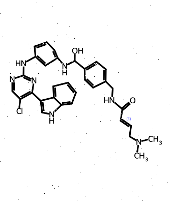 CN(C)C/C=C/C(=O)NCc1ccc(C(O)Nc2cccc(Nc3ncc(Cl)c(-c4c[nH]c5ccccc45)n3)c2)cc1